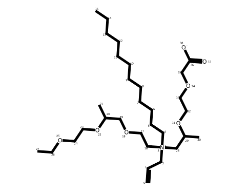 C=CC[N+](CCCCCCCCCCCC)(CCOCC(C)OCCOCC)CC(C)OCCOCC(=O)[O-]